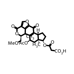 COC[C@H]1OC(=O)c2coc3c2[C@@]1(C)C1=C(C3=O)[C@@H]2CC[C@H](OC(=O)CC(=O)O)[C@@]2(C)C[C@H]1OC(C)=O